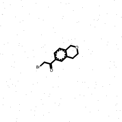 O=C(CBr)c1ccc2c(c1)CCOC2